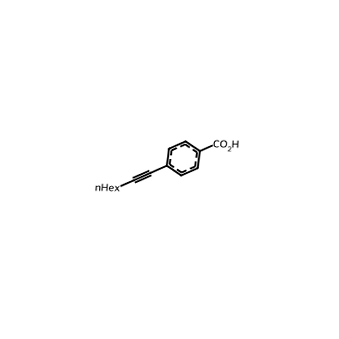 CCCCCCC#Cc1ccc(C(=O)O)cc1